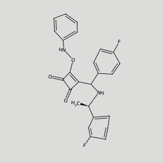 C[C@@H](NC(c1ccc(F)cc1)c1c(ONc2ccccc2)c(=O)c1=O)c1cccc(F)c1